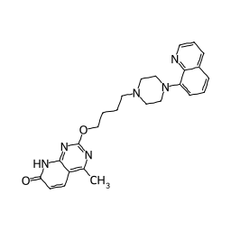 Cc1nc(OCCCCN2CCN(c3cccc4cccnc34)CC2)nc2[nH]c(=O)ccc12